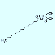 CCCCCCCCCCCCCCCC(=O)NN[C@@H](CO)C(=O)O